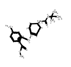 COC(=S)c1ccc(C)cc1O[C@H]1CC[C@H](NC(=O)OC(C)(C)C)CC1